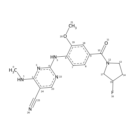 CNc1nc(Nc2ccc(C(=O)N3CCC(F)C3)cc2OC)ncc1C#N